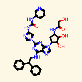 O=C(CO)NC1CC(n2cnc3c(NCC(c4ccccc4)c4ccccc4)nc(-n4cnc(NC(=O)Nc5cccnc5)c4)nc32)C(O)C1O